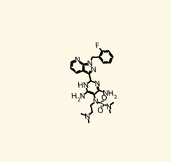 CN(C)CCN(C1=C(N)NC(c2nn(Cc3ccccc3F)c3ncccc23)N=C1N)S(=O)(=O)N(C)C